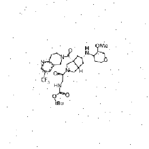 COC1COCCC1N[C@@H]1C[C@H]2CN(C(=O)CNC(=O)OC(C)(C)C)C[C@@]2(C(=O)N2CCc3ncc(C(F)(F)F)cc3C2)C1